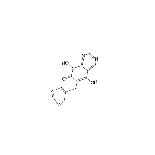 O=c1c(Cc2ccccc2)c(O)c2cncnc2n1O